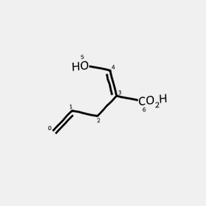 C=CC/C(=C\O)C(=O)O